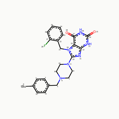 CC(C)(C)c1ccc(CN2CCN(c3nc4[nH]c(=O)[nH]c(=O)c4n3Cc3ccccc3F)CC2)cc1